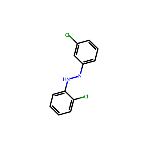 Clc1cccc([N]Nc2ccccc2Cl)c1